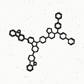 C1=CCC(C2CC=C(C(c3ccc(-c4ccccc4)cc3)C3CCC(C4CCC(C5C6C=CC(c7ccc8c(c7)oc7ccccc78)=CC6C6CC(C7CCC8c9ccccc9OC8C7)CCC65)CC4)C4CCCC34)CC2)C=C1